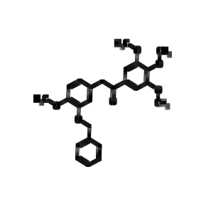 COc1ccc(CC(=O)c2cc(OC)c(OC)c(OC)c2)cc1OCc1ccccc1